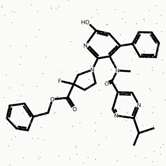 CC(C)c1ncc(C(=O)N(C)c2c(-c3ccccc3)cc(O)nc2N2CCC(F)(C(=O)OCc3ccccc3)C2)cn1